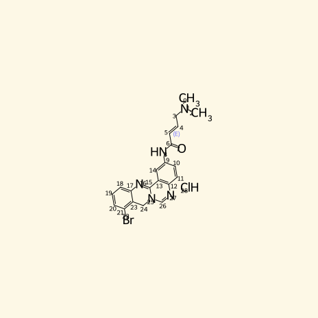 CN(C)C/C=C/C(=O)Nc1ccc2c(c1)C1=Nc3cccc(Br)c3CN1C=N2.Cl